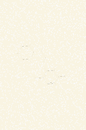 CC(COc1c(N)ccc(F)c1F)[C@H]1CCCCO1